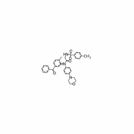 Cc1ccc(S(=O)(=O)N[C@@H](Cc2ccc(C(=O)c3ccccc3)cc2)C(=O)Nc2ccc(N3CCOCC3)cc2)cc1